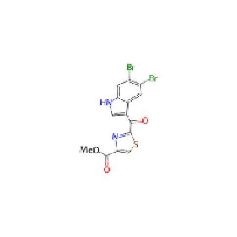 COC(=O)c1csc(C(=O)c2c[nH]c3cc(Br)c(Br)cc23)n1